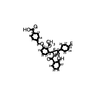 COc1c(OCc2ccc(C(=O)O)cc2)cccc1C1SC(c2ccc(F)cc2)=NN1C(=O)c1ccccc1O